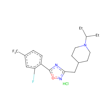 CCC(CC)N1CCC(Cc2noc(-c3ccc(C(F)(F)F)cc3F)n2)CC1.Cl